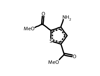 COC(=O)c1cc(N)c(C(=O)OC)s1